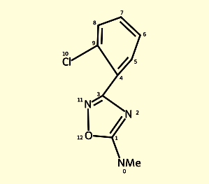 CNc1nc(-c2ccccc2Cl)no1